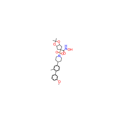 COc1cccc(-c2ccc(C3CCN(S(=O)(=O)C4(C(=O)NO)CC5OC(C)(C)OC5C4)CC3)cc2C)c1